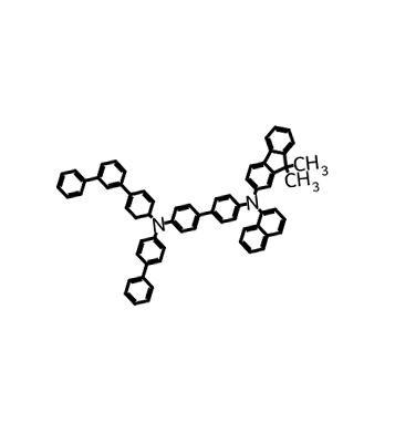 CC1(C)c2ccccc2-c2ccc(N(c3ccc(-c4ccc(N(c5ccc(-c6ccccc6)cc5)C5C=CC(c6cccc(-c7ccccc7)c6)=CC5)cc4)cc3)c3cccc4ccccc34)cc21